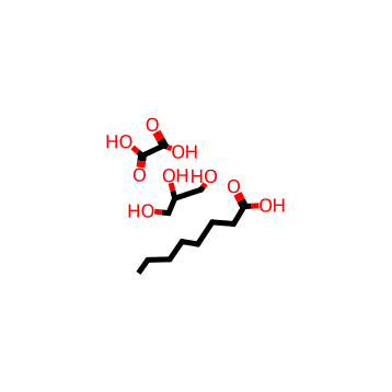 CCCCCCCC(=O)O.O=C(O)C(=O)O.OCC(O)CO